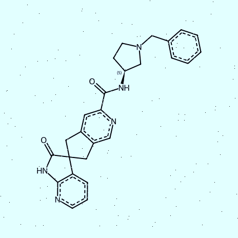 O=C(N[C@H]1CCN(Cc2ccccc2)C1)c1cc2c(cn1)CC1(C2)C(=O)Nc2ncccc21